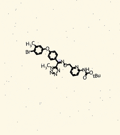 Cc1cc(Oc2ccc(/C(=N/OCc3cccc(NC(=O)OC(C)(C)C)n3)c3nnnn3C)cc2)ccc1Br